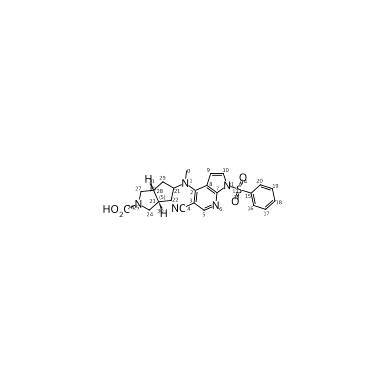 CN(c1c(C#N)cnc2c1ccn2S(=O)(=O)c1ccccc1)C1C[C@@H]2CN(C(=O)O)C[C@@H]2C1